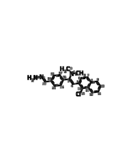 CN(C)C(=Cc1ccc2ccccc2c1Cl)c1ccc(/C=N/N)cc1